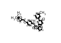 Cc1cc(-c2nc3c(cc2Cl)N2CC[C@@H](C2)N3C(=O)Nc2cnc(OCC3COC(C)(C)O3)cn2)ccn1